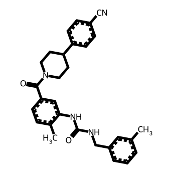 Cc1cccc(CNC(=O)Nc2cc(C(=O)N3CCC(c4ccc(C#N)cc4)CC3)ccc2C)c1